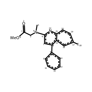 COC(=O)CN(C)c1cc(-c2ccccc2)c2cc(I)ccc2n1